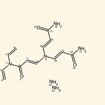 C=CN(C=C)C(=O)C=CN(C=CC(N)=O)C=CC(N)=O.N.N